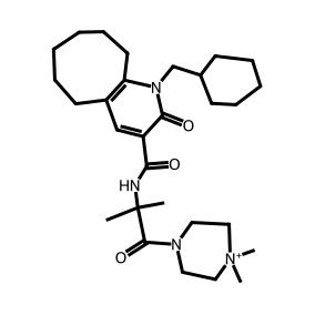 CC(C)(NC(=O)c1cc2c(n(CC3CCCCC3)c1=O)CCCCCC2)C(=O)N1CC[N+](C)(C)CC1